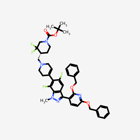 Cn1nc(-c2ccc(OCc3ccccc3)nc2OCc2ccccc2)c2cc(F)c(C3=CCN(C[C@H]4CCN(C(=O)OC(C)(C)C)CC4(F)F)CC3)c(F)c21